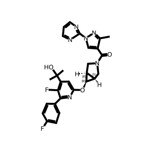 Cc1nn(-c2ncccn2)cc1C(=O)N1C[C@@H]2[C@H](C1)[C@@H]2Oc1cc(C(C)(C)O)c(F)c(-c2ccc(F)cc2)n1